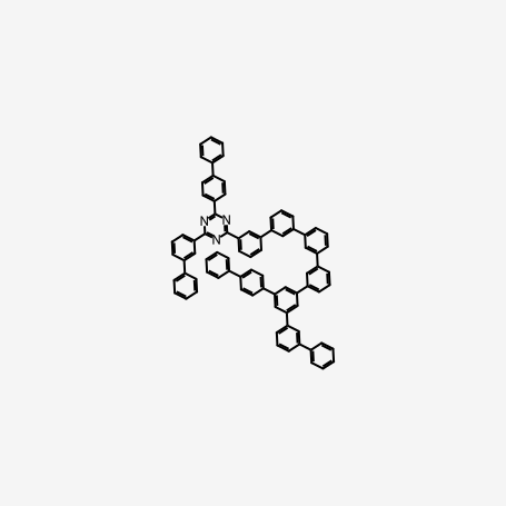 c1ccc(-c2ccc(-c3cc(-c4cccc(-c5ccccc5)c4)cc(-c4cccc(-c5cccc(-c6cccc(-c7cccc(-c8nc(-c9ccc(-c%10ccccc%10)cc9)nc(-c9cccc(-c%10ccccc%10)c9)n8)c7)c6)c5)c4)c3)cc2)cc1